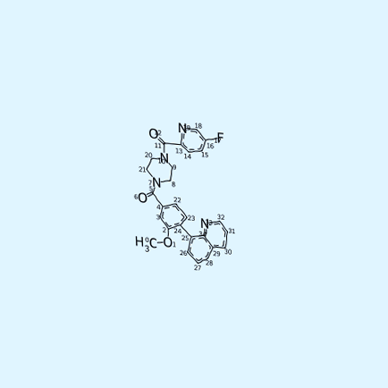 COc1cc(C(=O)N2CCN(C(=O)c3ccc(F)cn3)CC2)ccc1-c1cccc2cccnc12